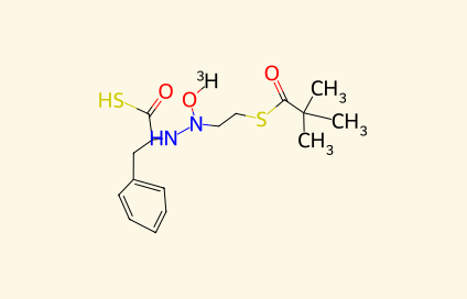 [3H]ON(CCSC(=O)C(C)(C)C)NC(Cc1ccccc1)C(=O)S